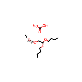 CCCCOC(C[O][Mg][O]CC)OCCCC.O=C(O)O